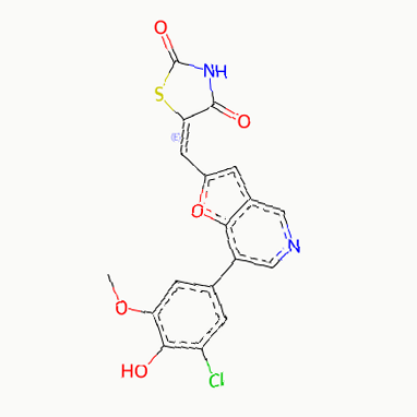 COc1cc(-c2cncc3cc(/C=C4/SC(=O)NC4=O)oc23)cc(Cl)c1O